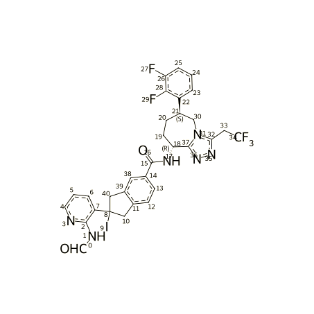 O=CNc1ncccc1C1(I)Cc2ccc(C(=O)N[C@@H]3CC[C@@H](c4cccc(F)c4F)Cn4c(CC(F)(F)F)nnc43)cc2C1